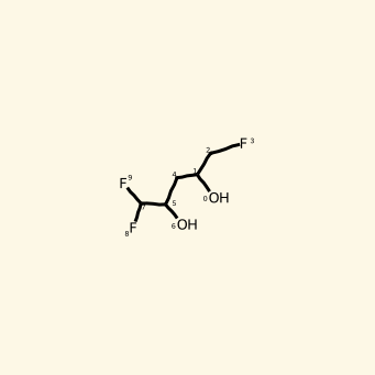 OC(CF)CC(O)C(F)F